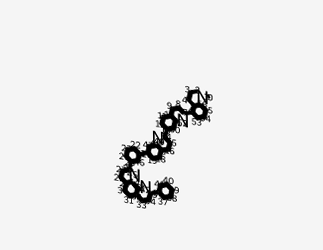 CN1CC=Cc2c(-c3ccc4ccc(-c5ccc6ccc(-c7cccc(-c8ccc9ccc%10ccc(-c%11ccccc%11)nc%10c9n8)c7)cc6n5)cc4n3)cccc21